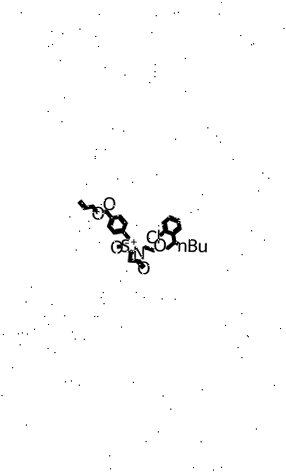 C=CCOC(=O)c1ccc(C[S+]([O-])C2CC(=O)N2CCOCC(CCCC)c2ccccc2Cl)cc1